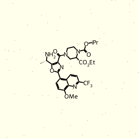 CCOC(=O)C1CN(C(=O)c2nc(-c3ccc(OC)c4nc(C(F)(F)F)ccc34)oc2[C@H](C)N)CCN1C(=O)OC(C)C